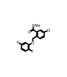 COC(=O)c1cc(Cl)ccc1COc1cc(F)ccc1F